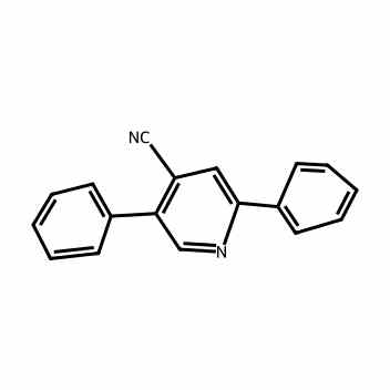 N#Cc1cc(-c2ccccc2)ncc1-c1ccccc1